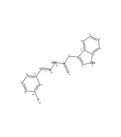 O=C(Cc1c[nH]c2ccccc12)N/N=C/c1cccc(F)c1